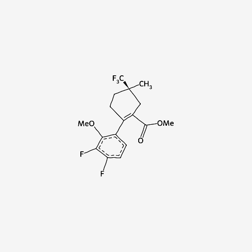 COC(=O)C1=C(c2ccc(F)c(F)c2OC)CC[C@@](C)(C(F)(F)F)C1